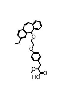 CCc1ccc2c(c1)C(OCCOc1ccc(CC(OC)C(=O)O)cc1)c1ccccc1C=C2